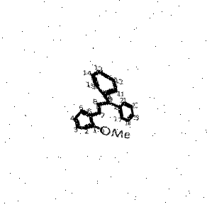 COc1c[c]ccc1CCC(c1ccccc1)c1ccccc1